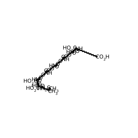 C=C(C)[C@@H](C)CCCCNC(=O)CC[C@H](NC(=O)CC[C@H](NC(=O)COCCOCCNC(=O)COCCOCCNC(=O)COCCOCCNC(=O)COCCOCCNC(=O)CC[C@H](NC(=O)CCCCCCCCCCCCCCCCC(=O)O)C(=O)O)C(=O)O)C(=O)O